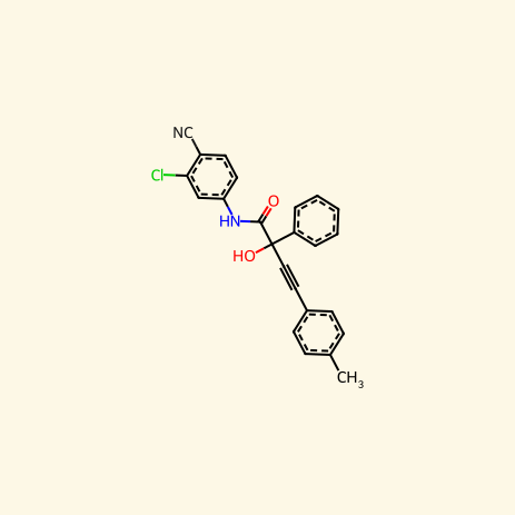 Cc1ccc(C#CC(O)(C(=O)Nc2ccc(C#N)c(Cl)c2)c2ccccc2)cc1